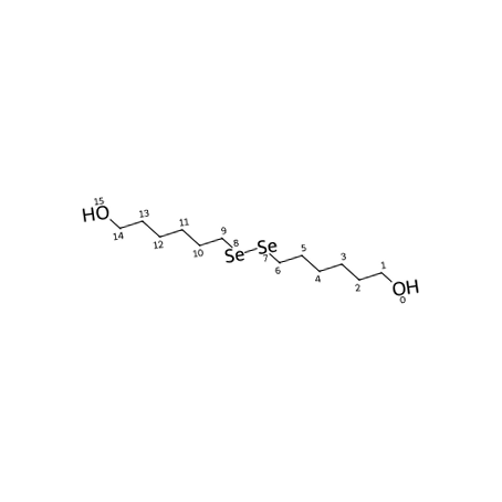 OCCCCCC[Se][Se]CCCCCCO